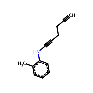 C#CCCC#CNc1cc[c]cc1C